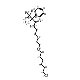 CC(C(=O)NCCOCCOCCCCCCCl)(c1ccccc1)C(F)(F)F